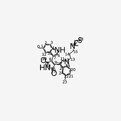 Cc1ccc2[nH]cc(C3=C(c4cn(CCCN=C=S)c5ccc(C)cc45)C(=O)NC3=O)c2c1